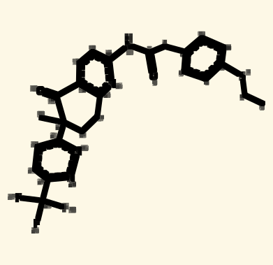 CCSc1ccc(CC(=O)Nc2ccc3c(n2)CCC(C)(c2ccc(C(F)(F)F)nn2)C3=O)cc1